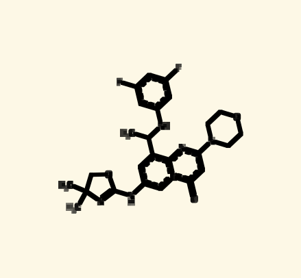 CC(Nc1cc(F)cc(F)c1)c1cc(NC2=NC(C)(C)CO2)cn2c(=O)cc(N3CCOCC3)nc12